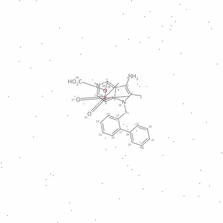 Cc1c(N)c2c3ncc(c2n1Cc1ccccc1-c1ccccc1)C(=O)C(=O)C(C(=O)O)O3